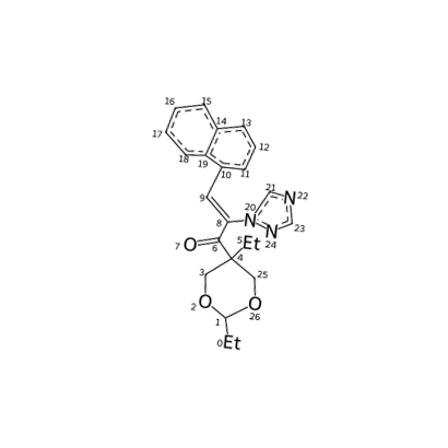 CCC1OCC(CC)(C(=O)C(=Cc2cccc3ccccc23)n2cncn2)CO1